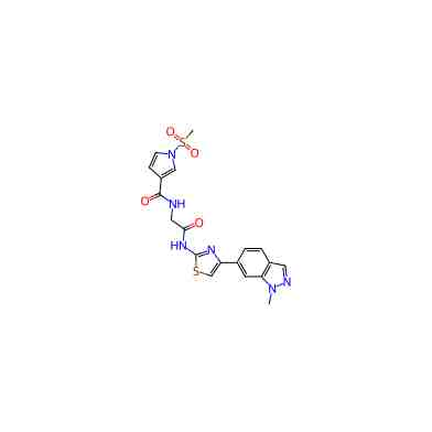 Cn1ncc2ccc(-c3csc(NC(=O)CNC(=O)c4ccn(S(C)(=O)=O)c4)n3)cc21